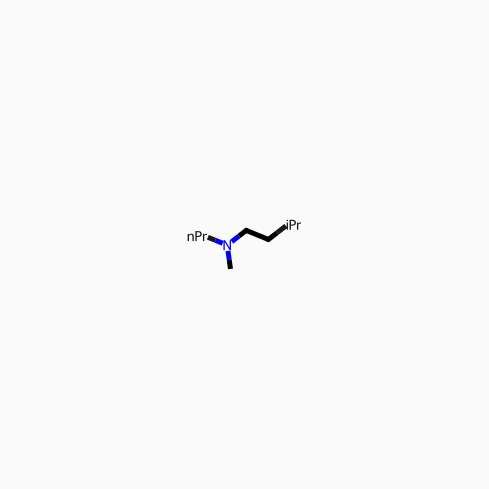 CCCN(C)CCC(C)C